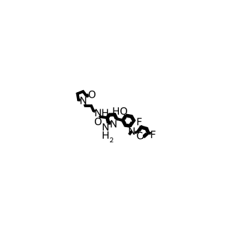 CN(c1ccc(O)c(-c2ccc(C(=O)NCCCN3CCCC3=O)c(N)n2)c1)c1ccc(F)cc1F